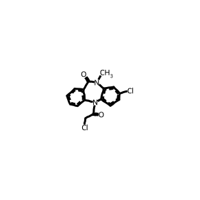 CN1C(=O)c2ccccc2N(C(=O)CCl)c2ccc(Cl)cc21